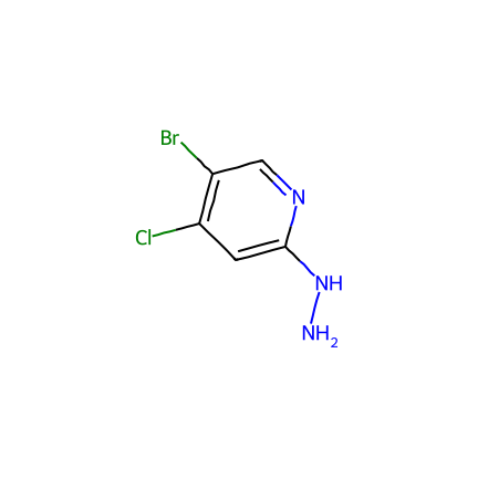 NNc1cc(Cl)c(Br)cn1